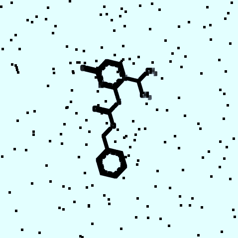 CC(C)n1ccc(=O)nc1SC(=O)OCc1ccccc1